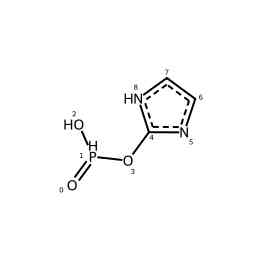 O=[PH](O)Oc1ncc[nH]1